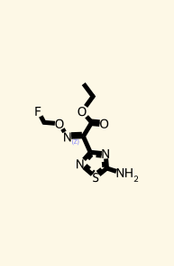 CCOC(=O)/C(=N\OCF)c1nsc(N)n1